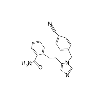 N#Cc1ccc(Cn2cncc2CCc2ccccc2C(N)=O)cc1